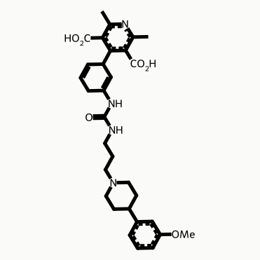 COc1cccc(C2CCN(CCCNC(=O)NC3=CC(c4c(C(=O)O)c(C)nc(C)c4C(=O)O)C=CC3)CC2)c1